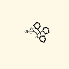 CCC(C=O)NC(c1ccccc1)(c1ccccc1)c1ccccc1